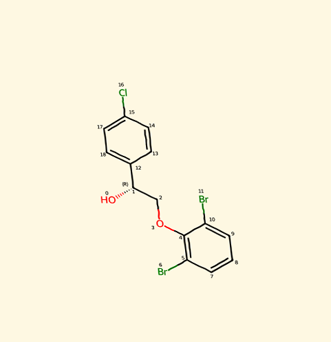 O[C@@H](COc1c(Br)cccc1Br)c1ccc(Cl)cc1